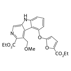 CCOC(=O)c1ccc(Oc2cccc3[nH]c4cnc(C(=O)OCC)c(COC)c4c23)o1